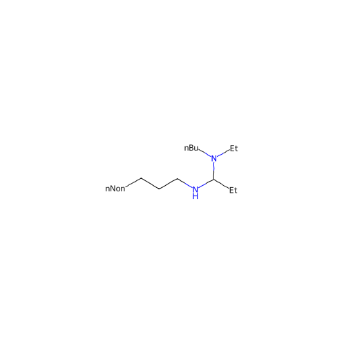 CCCCCCCCCCCCNC(CC)N(CC)CCCC